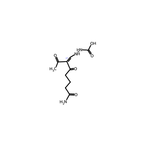 CC(=O)/C(=C/NNC(=O)O)C(=O)CCCC(N)=O